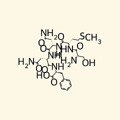 CSCC[C@H](NC(=O)[C@@H](N)CO)C(=O)N[C@@H](CC(N)=O)C(=O)N[C@@H](CC(N)=O)C(=O)N[C@@H](Cc1ccccc1)C(=O)O